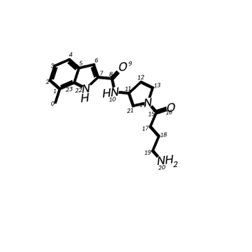 Cc1cccc2cc(C(=O)NC3CCN(C(=O)CCCN)C3)[nH]c12